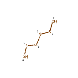 SSSSSS